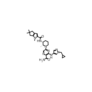 C[C@@H]1[C@H](NC(=O)c2cc3c(n2C)CC(C)(C)C3)CCCN1c1cnc(C(N)=O)c(Nc2cnn(CC3CC3)c2)n1